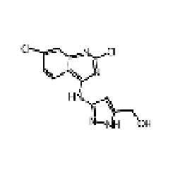 OCc1cc(Nc2nc(Cl)nc3cc(Cl)ccc23)n[nH]1